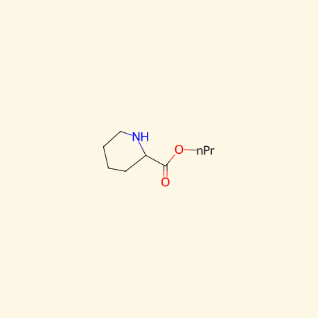 CCCOC(=O)C1CCCCN1